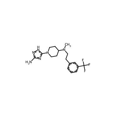 CN(CCc1cccc(C(F)(F)F)c1)C1CCN(c2nc(N)n[nH]2)CC1